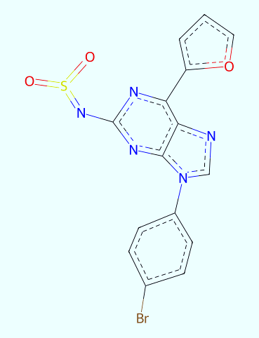 O=S(=O)=Nc1nc(-c2ccco2)c2ncn(-c3ccc(Br)cc3)c2n1